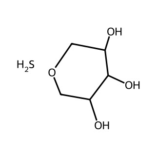 OC1COCC(O)C1O.S